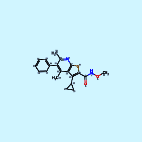 CONC(=O)c1sc2nc(C)c(-c3ccccc3)c(C)c2c1C1CC1